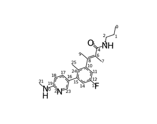 CCCNC(=O)/C(C)=C(\C)c1cc(F)cc(-c2ccc(NC)nc2)c1C